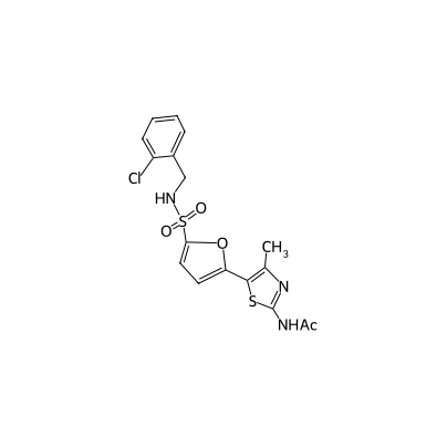 CC(=O)Nc1nc(C)c(-c2ccc(S(=O)(=O)NCc3ccccc3Cl)o2)s1